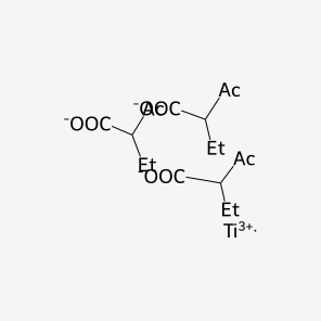 CCC(C(C)=O)C(=O)[O-].CCC(C(C)=O)C(=O)[O-].CCC(C(C)=O)C(=O)[O-].[Ti+3]